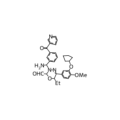 CCC1OC(C=O)N(C(N)c2cccc(C(=O)c3cccnc3)c2)N=C1c1ccc(OC)c(OC2CCCC2)c1